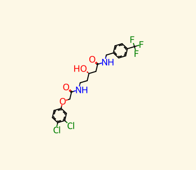 O=C(COc1ccc(Cl)c(Cl)c1)NCC[C@@H](O)CC(=O)NCc1ccc(C(F)(F)F)cc1